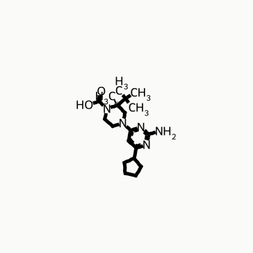 CC(C)(C)[C@@]1(C)CN(c2cc(C3CCCC3)nc(N)n2)CCN1C(=O)O